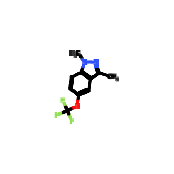 Cc1nn(C)c2ccc(OC(F)(F)F)cc12